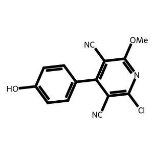 COc1nc(Cl)c(C#N)c(-c2ccc(O)cc2)c1C#N